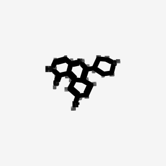 O=c1[nH]ccc2nc(C3CCOCC3)c3ccc(Br)cc3c12